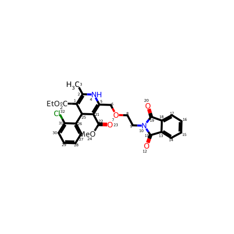 CCOC(=O)C1=C(C)NC(COCCN2C(=O)c3ccccc3C2=O)=C(C(=O)OC)C1c1ccccc1Cl